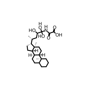 C[C@H](CC(O)C(O)(O)NC(=O)C(=O)O)[C@H]1CC[C@H]2[C@@H]3CCC4CCCC[C@]4(C)[C@H]3CC[C@]12C